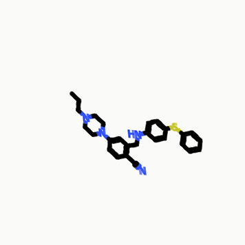 CCCN1CCN(c2ccc(C#N)c(CNc3ccc(Sc4ccccc4)cc3)c2)CC1